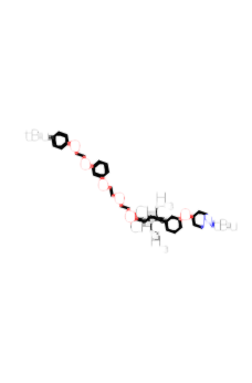 CC(C)(CCC(C)(C)C1CCCC(OC2CCN(C(C)(C)C)CC2)C1)OCCOCCOc1cccc(OCCOc2ccc(C(C)(C)C)cc2)c1